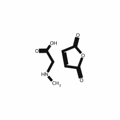 CNCC(=O)O.O=C1C=CC(=O)O1